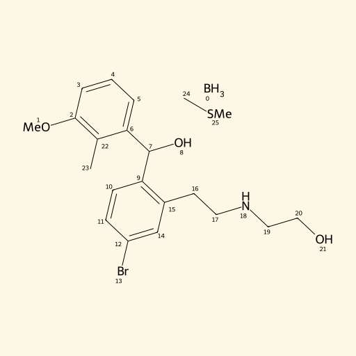 B.COc1cccc(C(O)c2ccc(Br)cc2CCNCCO)c1C.CSC